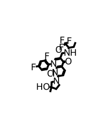 CCC(NC(=O)c1cn(-c2c(F)cc(F)cc2Cl)c2nc(N3CCC(C)(O)C3)ccc2c1=O)C(F)(F)F